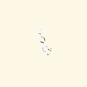 CNC(=O)c1ccc(N2CCN(C(F)(F)F)C3(CC3)C2)cn1